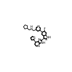 Fc1cc2[nH]nc(-c3nc4c(-c5cccs5)ccnc4[nH]3)c2cc1-c1cncc(CNCC2CCCC2)c1